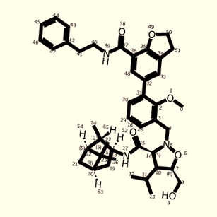 COc1c(CN2O[C@@H](CO)C(C(C)C)[C@H]2C(=O)N[C@H]2C[C@H]3C[C@@H]([C@@H]2C)C3(C)C)cccc1-c1cc2c(c(C(=O)NCCc3ccccc3)c1)OCC2